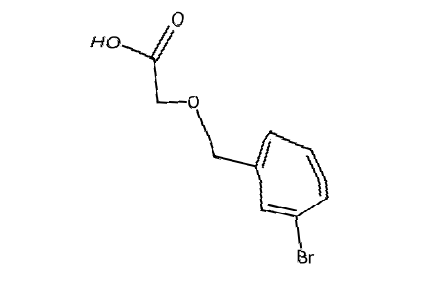 O=C(O)COCc1cccc(Br)c1